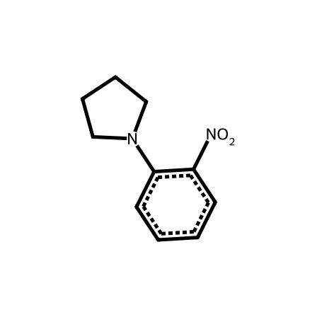 O=[N+]([O-])c1ccccc1N1CCCC1